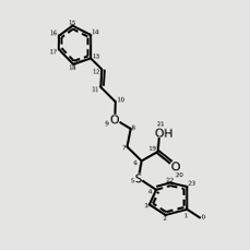 Cc1ccc(SC(CCOCC=Cc2ccccc2)C(=O)O)cc1